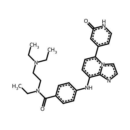 CCN(CC)CCN(CC)C(=O)c1ccc(Nc2ccc(-c3cc[nH]c(=O)c3)n3ccnc23)cc1